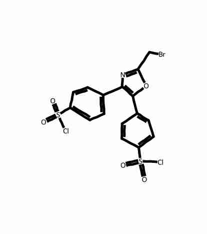 O=S(=O)(Cl)c1ccc(-c2nc(CBr)oc2-c2ccc(S(=O)(=O)Cl)cc2)cc1